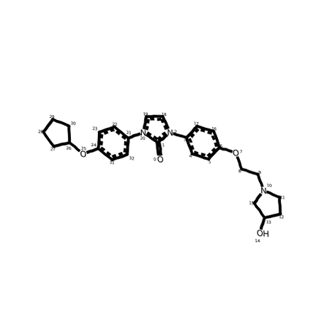 O=c1n(-c2ccc(OCCN3CCC(O)C3)cc2)ccn1-c1ccc(OC2CCCC2)cc1